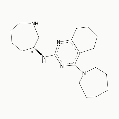 C1CCCN(c2nc(N[C@H]3CCCCNC3)nc3c2CCCC3)CC1